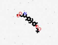 CCC(CC)(c1ccc(OCC(=O)C(C)(C)C)c(C)c1)c1ccc(-c2cncc(CC(=O)OC)c2)c(C)c1